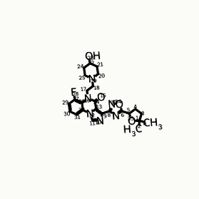 CC1(C)CCC(c2nc(-c3ncn4c3c(=O)n(CCN3CCC(O)CC3)c3c(F)cccc34)no2)O1